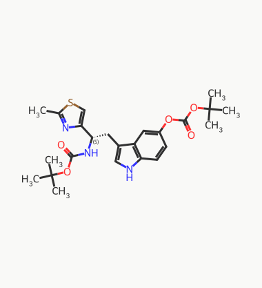 Cc1nc([C@H](Cc2c[nH]c3ccc(OC(=O)OC(C)(C)C)cc23)NC(=O)OC(C)(C)C)cs1